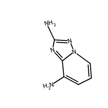 Nc1nc2c(N)cccn2n1